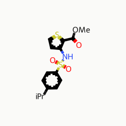 COC(=O)c1sccc1NS(=O)(=O)c1ccc(C(C)C)cc1